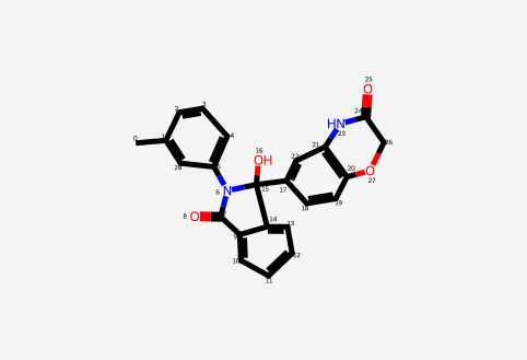 Cc1cccc(N2C(=O)c3ccccc3C2(O)c2ccc3c(c2)NC(=O)CO3)c1